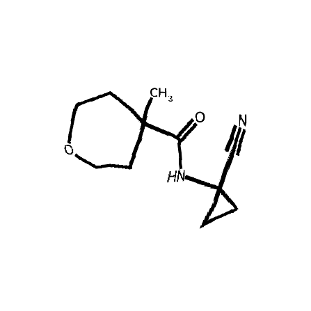 CC1(C(=O)NC2(C#N)CC2)CCOCC1